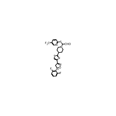 O=CC(Sc1ccc(C(F)(F)F)cn1)N1CCC(c2nc(C3=NO[C@@H](c4c(F)cccc4F)C3)cs2)CC1